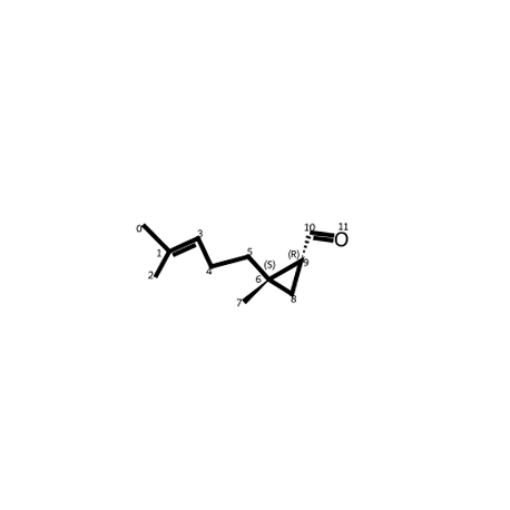 CC(C)=CCC[C@@]1(C)C[C@H]1C=O